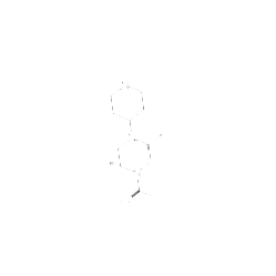 C[C@@H]1CN(C2CCNCC2)[C@@H](C)CN1C(=O)O